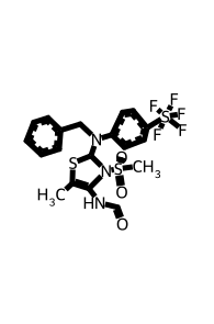 CC1=C(NC=O)N(S(C)(=O)=O)C(N(Cc2ccccc2)c2ccc(S(F)(F)(F)(F)F)cc2)S1